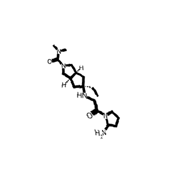 CC[C@]1(NCC(=O)N2CCCC2N)C[C@H]2CN(C(=O)N(C)C)C[C@H]2C1